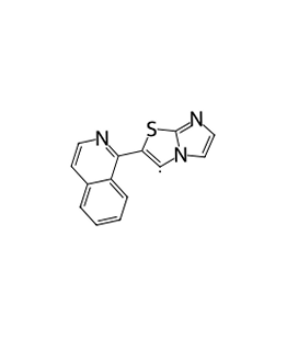 [c]1c(-c2nccc3ccccc23)sc2nccn12